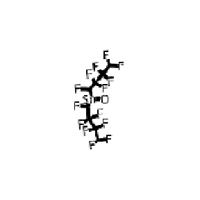 [O]=[Sn]([CH](F)C(F)(F)C(F)(F)C(F)F)[CH](F)C(F)(F)C(F)(F)C(F)F